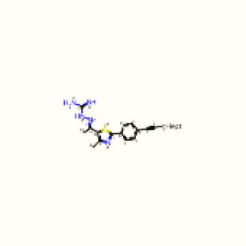 CCCCCCCC#Cc1ccc(-c2nc(C)c(/C(C)=N/NC(=N)N)s2)cc1